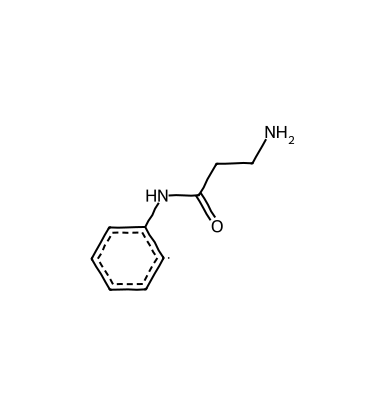 NCCC(=O)Nc1[c]cccc1